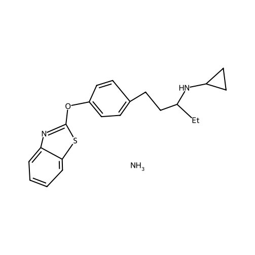 CCC(CCc1ccc(Oc2nc3ccccc3s2)cc1)NC1CC1.N